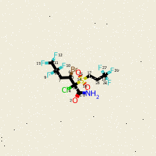 NC(=O)C(Cl)(C(Br)CC(F)(F)C(F)F)S(=O)(=O)CCC(F)(F)F